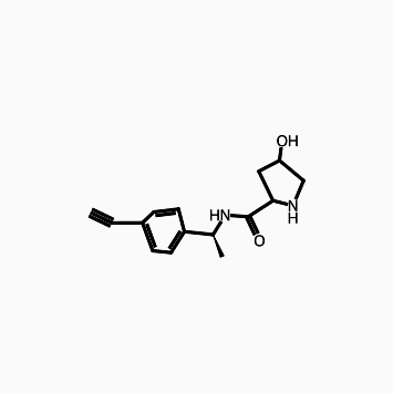 C#Cc1ccc([C@H](C)NC(=O)C2CC(O)CN2)cc1